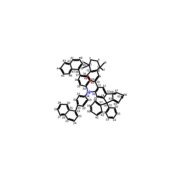 CC1(C)CCC(C)(C)c2cc(-c3cc4c(cc3N(c3ccc(-c5cccc6ccccc56)cc3)c3ccc(-c5cccc6ccccc56)cc3)C(c3ccccc3)(c3ccccc3)c3ccccc3-4)ccc21